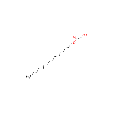 CCCCC=CCCCCCCCCCCOC(=O)CO